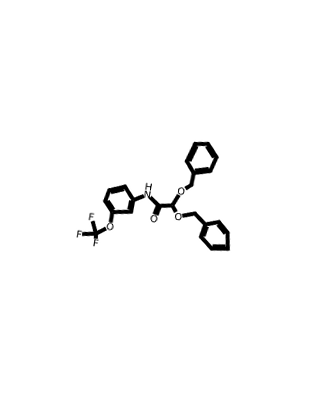 O=C(Nc1cccc(OC(F)(F)F)c1)C(OCc1ccccc1)OCc1ccccc1